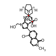 Cn1ccc2c(Cl)c(-c3cn(CO)c4nc(N5[C@@H]6CC[C@H]5C[C@@H](NC(=O)O)C6)cnc34)ccc2c1=O